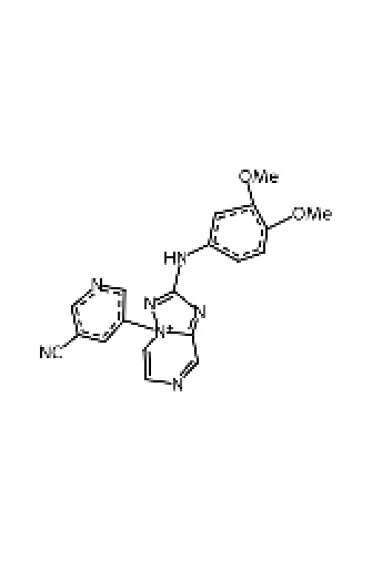 COc1ccc(NC2=N[N+]3(c4cncc(C#N)c4)C=CN=CC3=N2)cc1OC